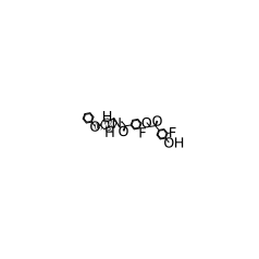 O=C(COc1ccc(C(=O)CN2C[C@H]3C[C@@H](Oc4ccccc4)C[C@H]3C2)cc1F)c1ccc(O)c(F)c1